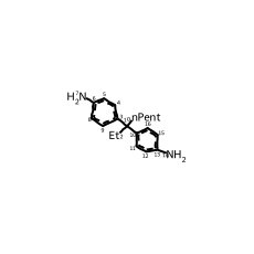 CCCCCC(CC)(c1ccc(N)cc1)c1ccc(N)cc1